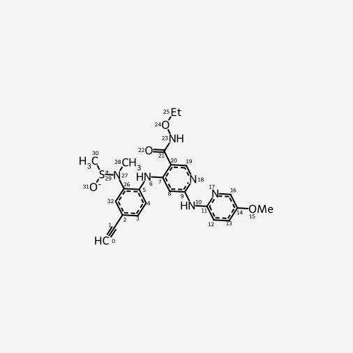 C#Cc1ccc(Nc2cc(Nc3ccc(OC)cn3)ncc2C(=O)NOCC)c(N(C)[S+](C)[O-])c1